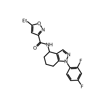 CCc1cc(C(=O)NC2CCCc3c2cnn3-c2ccc(F)cc2F)no1